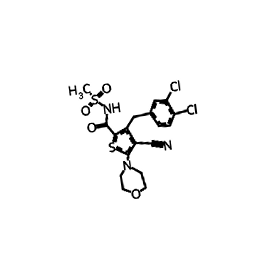 CS(=O)(=O)NC(=O)c1sc(N2CCOCC2)c(C#N)c1Cc1ccc(Cl)c(Cl)c1